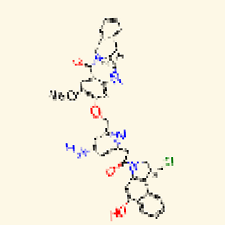 COc1cc2c(cc1OCc1cc(N)cc(CC(=O)N3C[C@@H](CCl)c4c3cc(O)c3ccccc43)n1)N=C[C@@H]1Cc3ccccc3CN1C2=O